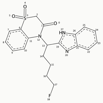 O=C1CS(=O)(=O)c2ccccc2N1C(CCCCF)c1nc2ccccc2[nH]1